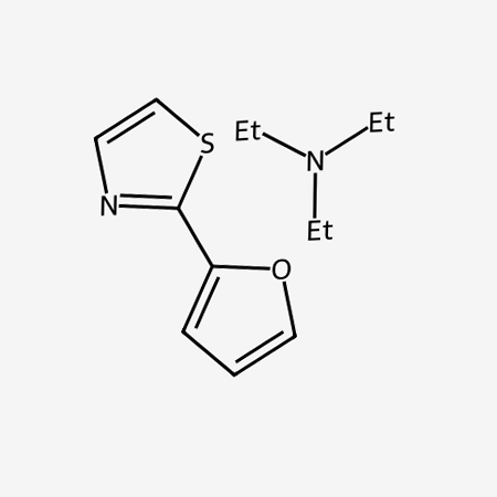 CCN(CC)CC.c1coc(-c2nccs2)c1